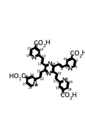 O=C(O)c1ccnc(C=Cc2nc(C=Cc3cc(C(=O)O)ccn3)c(C=Cc3cc(C(=O)O)ccn3)nc2C=Cc2cc(C(=O)O)ccn2)c1